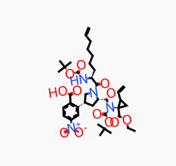 C=CCCCCC[C@H](NC(=O)OC(C)(C)C)C(=O)N1C[C@@H](c2cc([N+](=O)[O-])ccc2C(=O)O)C[C@H]1C(=O)N(C(=O)OC(C)(C)C)[C@]1(C(=O)OCC)CC1C=C